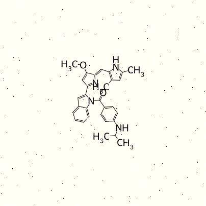 COC1=CC(c2cc3ccccc3n2C(=O)c2ccc(NC(C)C)cc2)=N/C1=C\c1[nH]c(C)cc1C